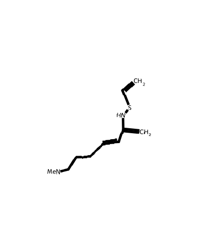 C=CSNC(=C)/C=C/CCCNC